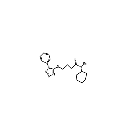 CCN(C(=O)CCCSc1nnnn1-c1ccccc1)C1CCCCC1